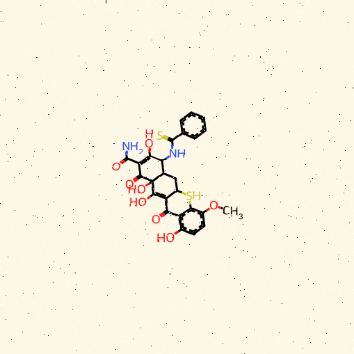 COc1ccc(O)c2c1[SH]C1CC3C(NC(=S)c4ccccc4)C(O)=C(C(N)=O)C(=O)C3(O)C(O)=C1C2=O